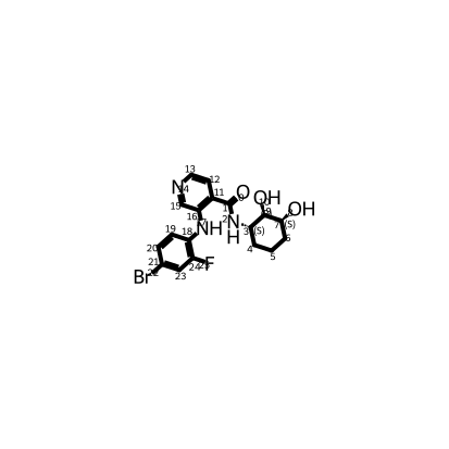 O=C(N[C@H]1CCC[C@H](O)[C@@H]1O)c1ccncc1Nc1ccc(Br)cc1F